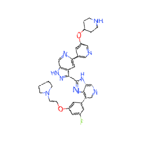 Fc1cc(OCCN2CCCC2)cc(-c2cncc3[nH]c(-c4n[nH]c5cnc(-c6cncc(OC7CCNCC7)c6)cc45)nc23)c1